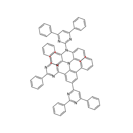 c1ccc(-c2cc(-c3cc(-c4ccccc4)c(N4c5ccccc5N(c5nc(-c6ccccc6)cc(-c6ccccc6)n5)c5ccccc54)c(-c4nc(-c5ccccc5)nc(-c5ccccc5)n4)c3)nc(-c3ccccc3)n2)cc1